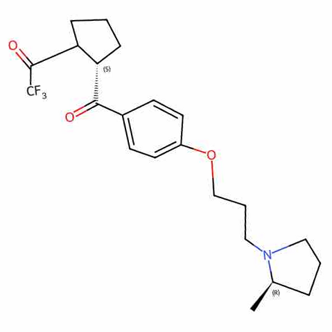 C[C@@H]1CCCN1CCCOc1ccc(C(=O)[C@H]2CCCC2C(=O)C(F)(F)F)cc1